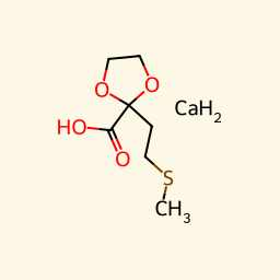 CSCCC1(C(=O)O)OCCO1.[CaH2]